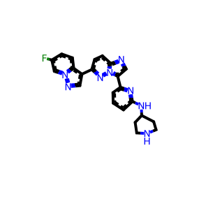 Fc1ccc2c(-c3ccc4ncc(-c5cccc(NC6CCNCC6)n5)n4n3)cnn2c1